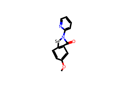 COc1ccc2[se]n(-c3ccccn3)c(=O)c2c1